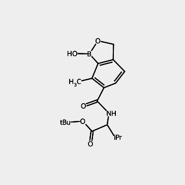 Cc1c(C(=O)NC(C(=O)OC(C)(C)C)C(C)C)ccc2c1B(O)OC2